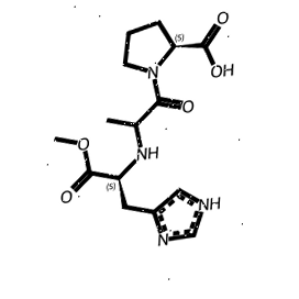 COC(=O)[C@H](Cc1c[nH]cn1)NC(C)C(=O)N1CCC[C@H]1C(=O)O